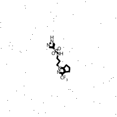 O=S(=O)(NCCCn1nc(C(F)(F)F)c2c1CCC2)c1cn[nH]c1